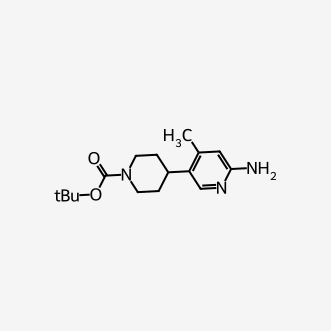 Cc1cc(N)ncc1C1CCN(C(=O)OC(C)(C)C)CC1